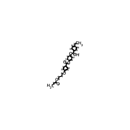 C=CC(=O)OCCCCOc1ccc(C(=O)OC2=CC=C(OC(O)c3ccc(CC)cc3)CC2)cc1